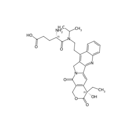 CC[C@@]1(O)C(=O)OCc2c1cc1n(c2=O)Cc2c-1nc1ccccc1c2CCN(C(=O)[C@@H](N)CCC(=O)O)C(C)C